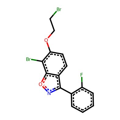 Fc1ccccc1-c1noc2c(Br)c(OCCBr)ccc12